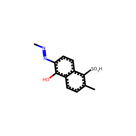 CN=Nc1ccc2c(S(=O)(=O)O)c(C)ccc2c1O